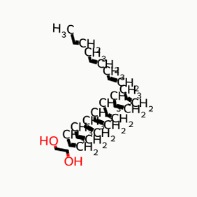 C=CC.C=CC.C=CC.C=CC.C=CC.C=CC.C=CC.C=CC.C=CC.C=CC.OCCO